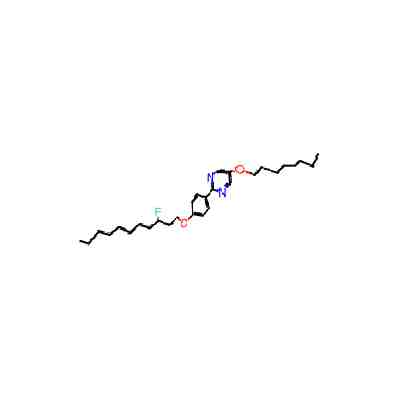 CCCCCCCCOc1cnc(-c2ccc(OCC[C@H](F)CCCCCCCC)cc2)nc1